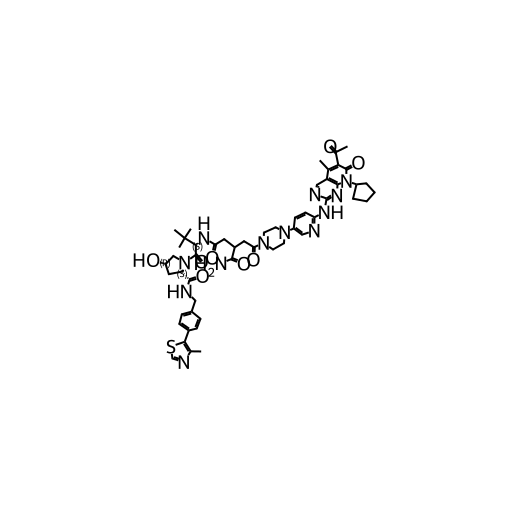 CC(=O)c1c(C)c2cnc(Nc3ccc(N4CCN(C(=O)CC(CC(=O)N[C@H](C(=O)N5C[C@H](O)C[C@H]5C(=O)NCc5ccc(-c6scnc6C)cc5)C(C)(C)C)C(N)=O)CC4)cn3)nc2n(C2CCCC2)c1=O